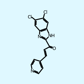 O=C(/C=C/c1ccncc1)c1nc2cc(Cl)c(Cl)cc2[nH]1